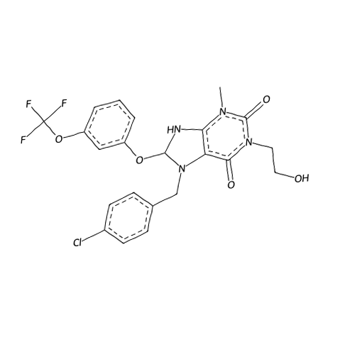 Cn1c2c(c(=O)n(CCO)c1=O)N(Cc1ccc(Cl)cc1)C(Oc1cccc(OC(F)(F)F)c1)N2